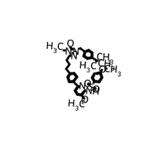 CCn1c(CCCc2ccc(-c3ccc(OC)c(NS(=O)(=O)c4ccc(OC)cc4)n3)cc2)nn(Cc2ccc(C(C)(C)C)cc2)c1=O